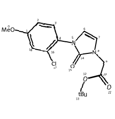 COc1ccc(-n2ccn(CC(=O)OC(C)(C)C)c2=O)c(Cl)c1